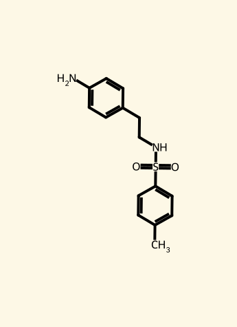 Cc1ccc(S(=O)(=O)NCCc2ccc(N)cc2)cc1